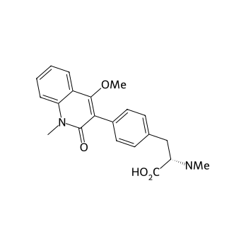 CN[C@@H](Cc1ccc(-c2c(OC)c3ccccc3n(C)c2=O)cc1)C(=O)O